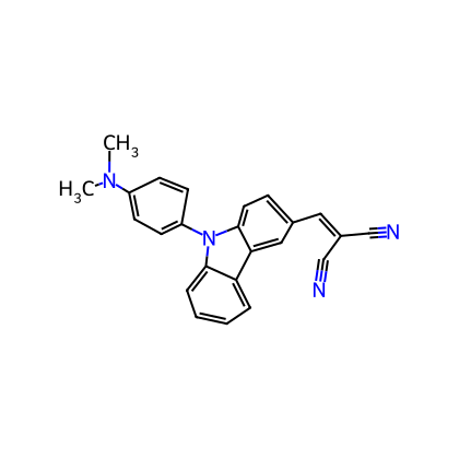 CN(C)c1ccc(-n2c3ccccc3c3cc(C=C(C#N)C#N)ccc32)cc1